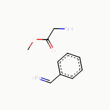 COC(=O)CN.N=Cc1ccccc1